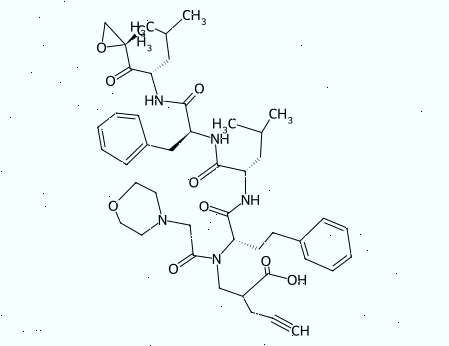 C#CCC(CN(C(=O)CN1CCOCC1)[C@@H](CCc1ccccc1)C(=O)N[C@@H](CC(C)C)C(=O)N[C@@H](Cc1ccccc1)C(=O)N[C@@H](CC(C)C)C(=O)[C@@]1(C)CO1)C(=O)O